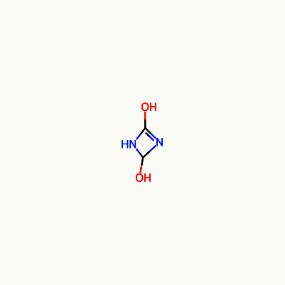 OC1=NC(O)N1